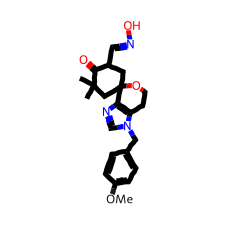 COc1ccc(Cn2cnc3c2CCOC32CC(C=NO)C(=O)C(C)(C)C2)cc1